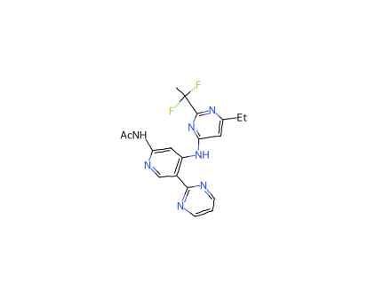 CCc1cc(Nc2cc(NC(C)=O)ncc2-c2ncccn2)nc(C(C)(F)F)n1